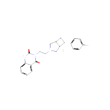 O=c1[nH]c2ccccc2c(=O)n1CCN1C[C@H]2C[C@H](c3ccc(F)cc3)[C@H]2C1